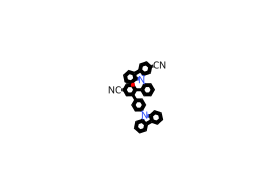 N#Cc1ccc(-c2ccccc2-n2c3ccccc3c3ccc(C#N)cc32)c(-c2ccc(-n3c4ccccc4c4ccccc43)cc2)c1